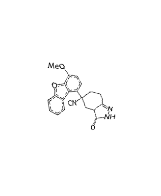 [C-]#[N+]C1(c2ccc(OC)c3oc4ccccc4c23)CCC2=NNC(=O)C2C1